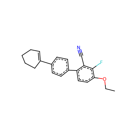 CCOc1ccc(-c2ccc(C3=CCCCC3)cc2)c(C#N)c1F